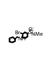 CN[S+]([O-])c1ccc(NCc2ccccc2)c(Br)c1